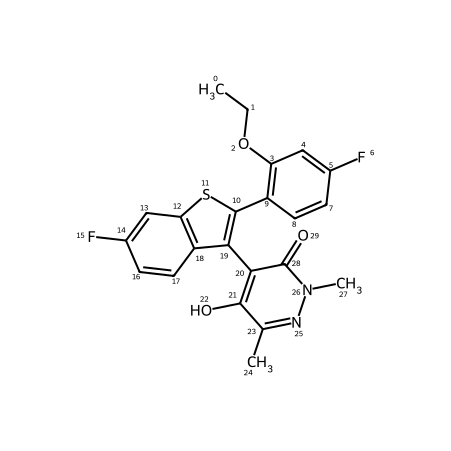 CCOc1cc(F)ccc1-c1sc2cc(F)ccc2c1-c1c(O)c(C)nn(C)c1=O